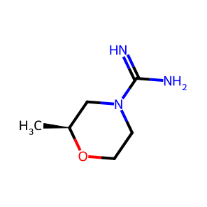 C[C@H]1CN(C(=N)N)CCO1